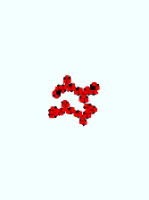 c1ccc(N(c2ccc(-c3ccc(N(c4ccccc4)c4ccc5c(c4)-c4cccc6cccc-5c46)cc3)cc2)c2ccc3c(c2)-c2cccc4cccc-3c24)cc1.c1ccc(N(c2ccc(-c3ccc(N(c4ccccc4)c4ccc5c(ccc6ccccc65)c4)cc3)cc2)c2ccc3c(ccc4ccccc43)c2)cc1